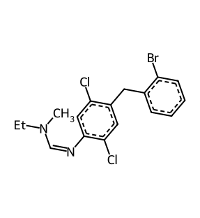 CCN(C)/C=N\c1cc(Cl)c(Cc2ccccc2Br)cc1Cl